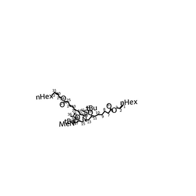 CCCCCC/C=C\COC(=O)CCCCCC(CN(CCCNC)CC(CCCCCC(=O)OC/C=C\CCCCCC)O[Si](C)(C)C(C)(C)C)O[Si](C)(C)C(C)(C)C